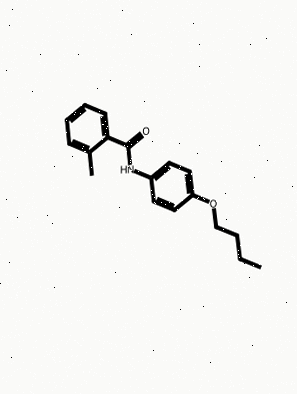 CCCCOc1ccc(NC(=O)c2ccccc2C)cc1